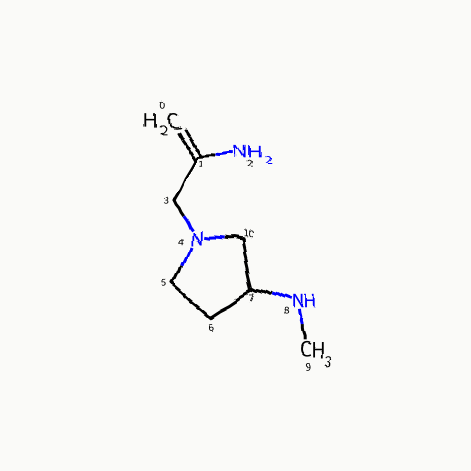 C=C(N)CN1CCC(NC)C1